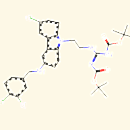 CC(C)(C)OC(=O)N=C(NCCn1c2ccc(Cl)cc2c2cc(NCc3ccc(Cl)c(Cl)c3)ccc21)NC(=O)OC(C)(C)C